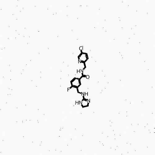 O=C(NCc1ccc(Cl)cn1)c1ccc(F)c(CNC2=NCCN2)c1